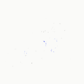 CC1C=C2C(c3cccc4c3C3(C)C(=CCCC3c3nc(-c5ccccc5)nc(-c5ccccc5)n3)N4c3ccccc3)=CC3C=CC=CC3C2=CC1